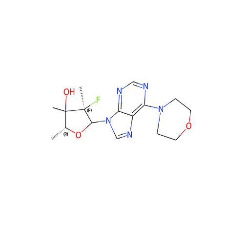 C[C@H]1OC(n2cnc3c(N4CCOCC4)ncnc32)[C@](C)(F)C1(C)O